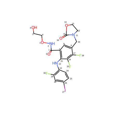 O=C(NOCCO)c1cc(CN2CCOC2=O)c(F)c(F)c1Nc1ccc(I)cc1F